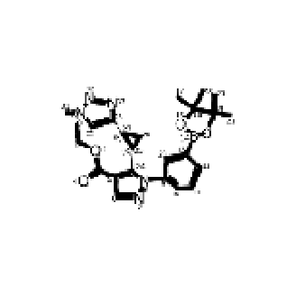 CCOC(=O)c1cnn(-c2cccc(B3OC(C)(C)C(C)(C)O3)c2)c1[C@@H]1C[C@H]1c1cn(C)nn1